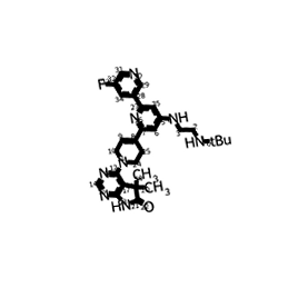 CC(C)(C)NCCNc1cc(C2=CCN(c3ncnc4c3C(C)(C)C(=O)N4)CC2)nc(-c2cncc(F)c2)c1